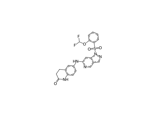 O=C1CCc2cc(Nc3cc4c(cn3)cnn4S(=O)(=O)c3ccccc3OC(F)F)ccc2N1